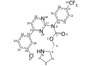 O=C(OC[C@@H]1CCCN1)N(c1ccc(C(F)(F)F)cc1)c1nccc(-c2cccc(Cl)c2)n1